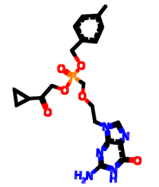 Cc1ccc(COP(=O)(COCCn2cnc3c(=O)[nH]c(N)nc32)OCC(=O)C2CC2)cc1